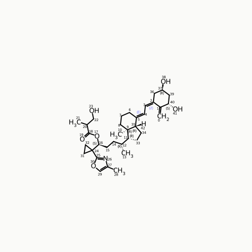 C=C1/C(=C\C=C2/CCC[C@]3(C)[C@@H]([C@H](C)CC[C@H](OC(=O)C(C)CO)C4(c5nc(C)co5)CC4)CC[C@@H]23)C[C@@H](O)C[C@@H]1O